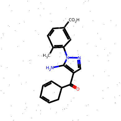 Cc1ccc(C(=O)O)cc1-n1ncc(C(=O)C2C=CC=CC2)c1N